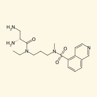 CCN(CCCN(C)S(=O)(=O)c1cccc2cnccc12)C(=O)[C@H](N)CN